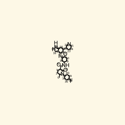 Cc1ccc(C(=O)Nc2ccc(Oc3cc4cn[nH]c4cc3-c3cccnc3)c(F)c2)c(=O)n1-c1ccc(F)cc1